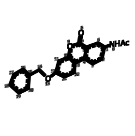 CC(=O)Nc1ccc2c(c1)c(=O)oc1cc(OCc3ccccc3)ccc12